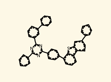 c1ccc(-c2cccc(-c3nc(-c4ccccc4)nc(-c4ccc(-c5cccc6c5sc5cc(-c7ccccc7)ccc56)cc4)n3)c2)cc1